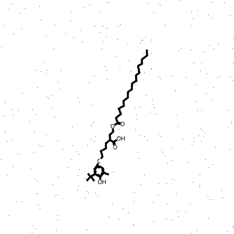 CCCCCCCCCCCCCCCCCC(=O)OCCC(CCCCCc1cc(C)c(O)c(C(C)(C)C)c1)C(=O)O